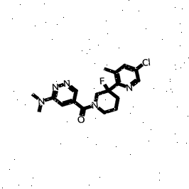 Cc1cc(Cl)cnc1C1(F)CCCN(C(=O)c2cnnc(N(C)C)c2)C1